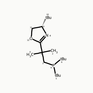 CC(C)(CP(C(C)(C)C)C(C)(C)C)C1=N[C@@H](C(C)(C)C)CO1